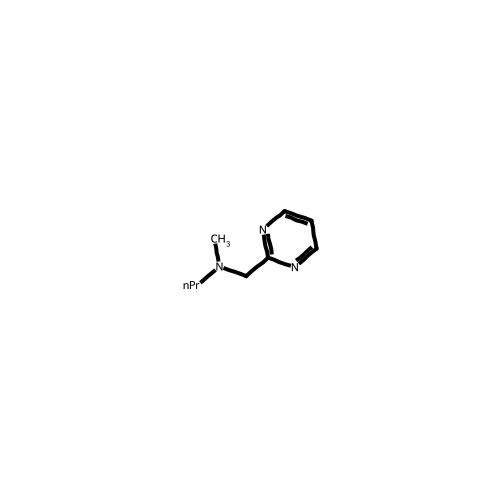 CCCN(C)Cc1ncccn1